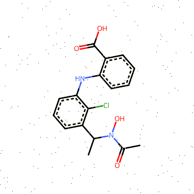 CC(=O)N(O)C(C)c1cccc(Nc2ccccc2C(=O)O)c1Cl